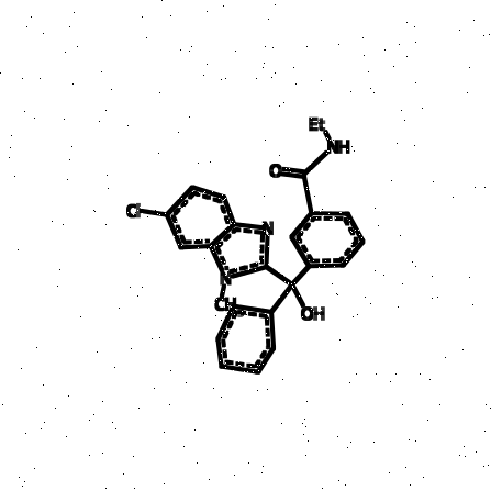 CCNC(=O)c1cccc(C(O)(c2ccccc2)c2nc3ccc(Cl)cc3n2C)c1